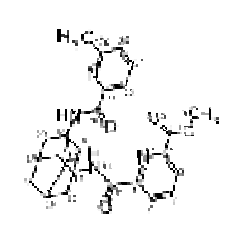 COC(=O)c1cccc(C(=O)NC23CC4CC(CC(NC(=O)c5cccc(C)n5)(C4)C2)C3)n1